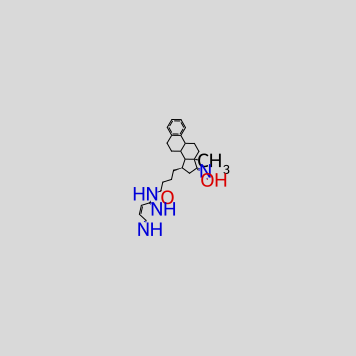 C[C@]12CCC3c4ccccc4CCC3C1[C@H](CCCC(=O)NC(=N)/C=C\C=N)C/C2=N\O